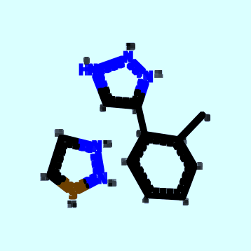 Cc1ccccc1-c1c[nH]nn1.c1csnn1